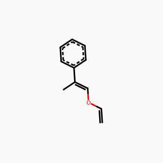 C=COC=C(C)c1ccccc1